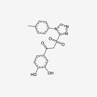 Cc1ccc(-n2cnnc2S(=O)(=O)CC(=O)c2ccc(O)c(O)c2)cc1